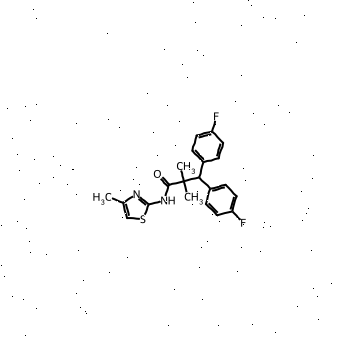 Cc1csc(NC(=O)C(C)(C)C(c2ccc(F)cc2)c2ccc(F)cc2)n1